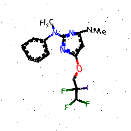 CNc1cc(OCC(F)(I)C(F)F)nc(N(C)c2ccccc2)n1